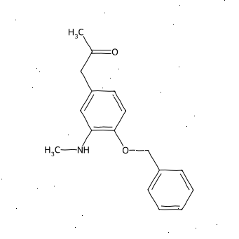 CNc1cc(CC(C)=O)ccc1OCc1ccccc1